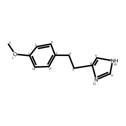 COc1ccc(C[CH]c2c[nH]cn2)cc1